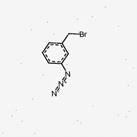 [N-]=[N+]=Nc1cccc(CBr)c1